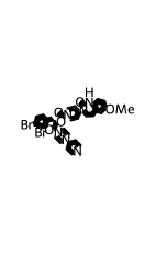 COc1ccc2c(c1)CCN(C1CCN(C(=O)O[C@H](Cc3ccc(Br)c(Br)c3)C(=O)N3CCN(C4CCN(C)CC4)CC3)CC1)C(=O)N2